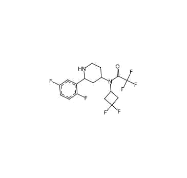 O=C(N(C1CCNC(c2cc(F)ccc2F)C1)C1CC(F)(F)C1)C(F)(F)F